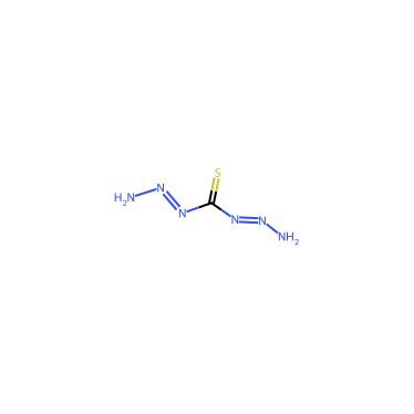 NN=NC(=S)N=NN